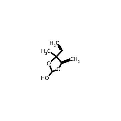 C=CC1(C)OC(O)OC1=C